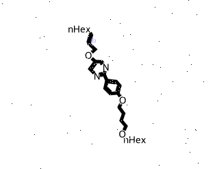 CCCCCC/C=C/COc1cnc(-c2ccc(OCCCCOCCCCCC)cc2)nc1